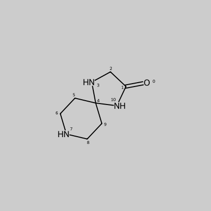 O=C1CNC2(CCNCC2)N1